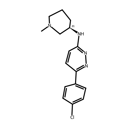 CN1CCC[C@@H](Nc2ccc(-c3ccc(Cl)cc3)nn2)C1